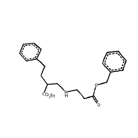 CCOC(=O)C(CCc1ccccc1)CNCCC(=O)OCc1ccccc1